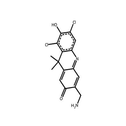 CC1(C)C2=CC(=O)C(CN)=CC2=Nc2cc(Cl)c(O)c(Cl)c21